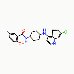 O=C(NC1CCC(Nc2ccnc3cc(Cl)ccc23)CC1)c1cc(I)ccc1O